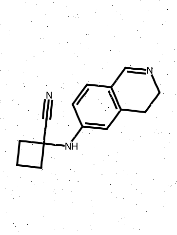 N#CC1(Nc2ccc3c(c2)CCN=C3)CCC1